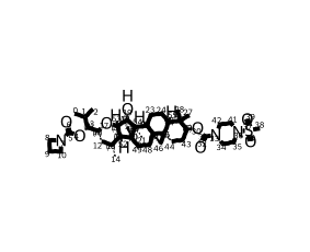 CC(C)[C@@H](OC(=O)N1CCC1)[C@H]1C[C@@H](C)[C@H]2[C@H](O1)[C@H](O)[C@@]1(C)[C@@H]3CC[C@H]4C(C)(C)[C@@H](OC(=O)N5CCN(S(C)(=O)=O)CC5)CC[C@@]45C[C@@]35CC[C@]21C